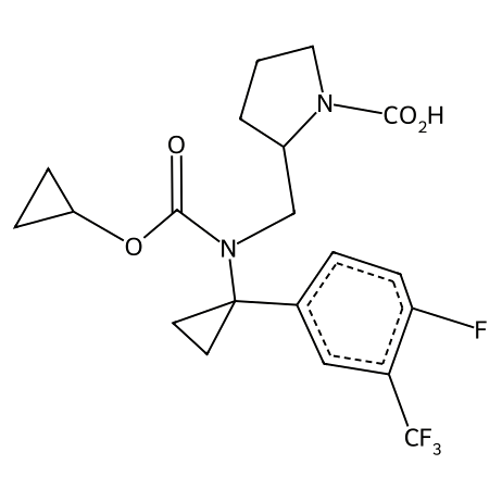 O=C(O)N1CCCC1CN(C(=O)OC1CC1)C1(c2ccc(F)c(C(F)(F)F)c2)CC1